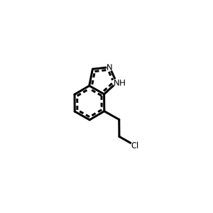 ClCCc1cccc2cn[nH]c12